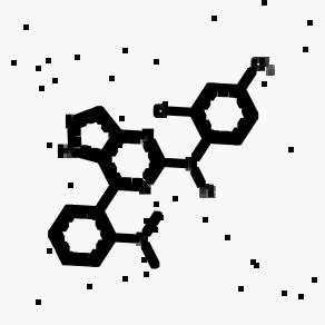 CCN(c1nc(-c2ccccc2N(C)C)c2[nH]ncc2n1)c1ccc(C(F)(F)F)cc1Cl